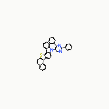 c1ccc(-c2ncc(-n3c4ccccc4c4c5sc6ccc7ccccc7c6c5ccc43)c(-c3ccccc3)n2)cc1